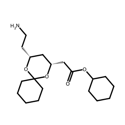 NCC[C@@H]1C[C@H](CC(=O)OC2CCCCC2)OC2(CCCCC2)O1